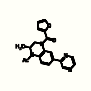 CC(=O)N1c2ccc(-c3cnccn3)cc2N(C(=O)c2ccco2)C[C@@H]1C